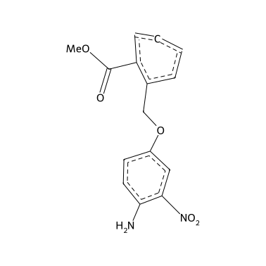 COC(=O)c1ccccc1COc1ccc(N)c([N+](=O)[O-])c1